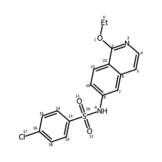 CCOc1nccc2cc(NS(=O)(=O)c3ccc(Cl)cc3)ccc12